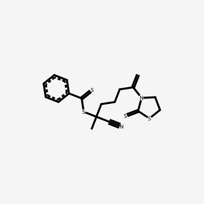 C=C(CCCC(C)(C#N)SC(=S)c1ccccc1)N1CCSC1=S